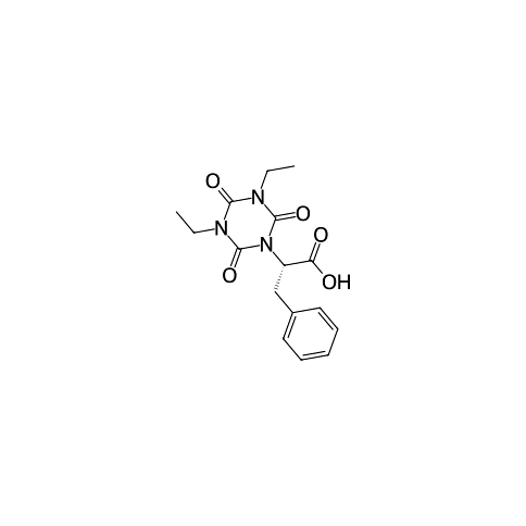 CCn1c(=O)n(CC)c(=O)n([C@@H](Cc2ccccc2)C(=O)O)c1=O